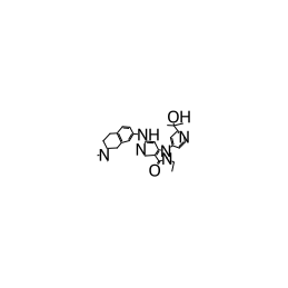 CCn1c(=O)c2cnc(Nc3ccc4c(c3)CC(N(C)C)CC4)cc2n1-c1ccnc(C(C)(C)O)c1